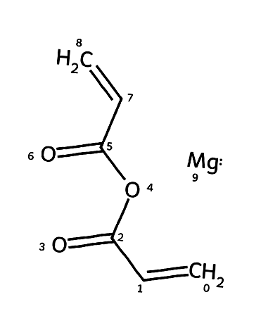 C=CC(=O)OC(=O)C=C.[Mg]